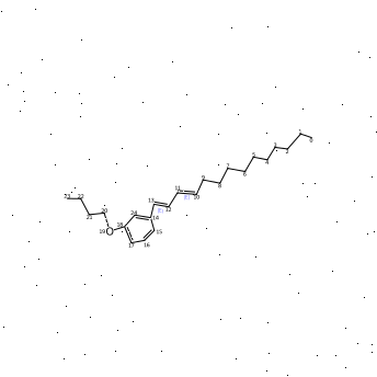 CCCCCCCCCC/C=C/C=C/c1cccc(OCCCC)c1